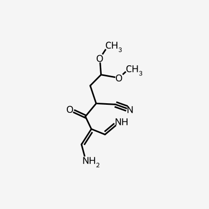 COC(CC(C#N)C(=O)/C(C=N)=C/N)OC